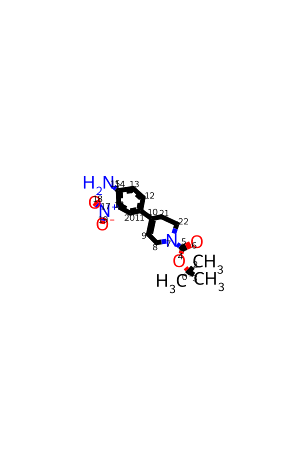 CC(C)(C)OC(=O)N1CC=C(c2ccc(N)c([N+](=O)[O-])c2)CC1